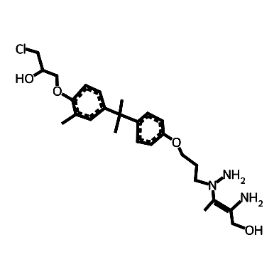 C/C(=C(/N)CO)N(N)CCCOc1ccc(C(C)(C)c2ccc(OCC(O)CCl)c(C)c2)cc1